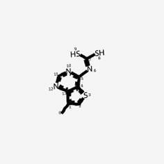 Cc1csc2c(N=C(S)S)ncnc12